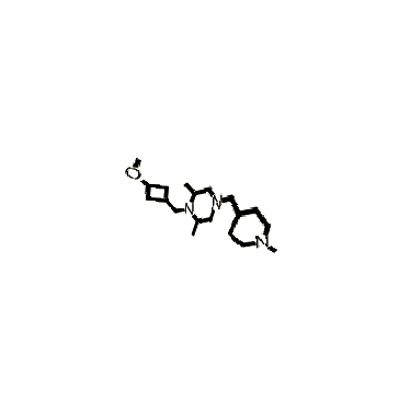 COC1CC(CN2C(C)CN(CC3CCN(C)CC3)CC2C)C1